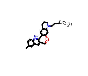 Cc1ccc2c(c1)cc1c([n+]2C)-c2cc3c(cc2OC1)N(CCCC(=O)O)CCC3